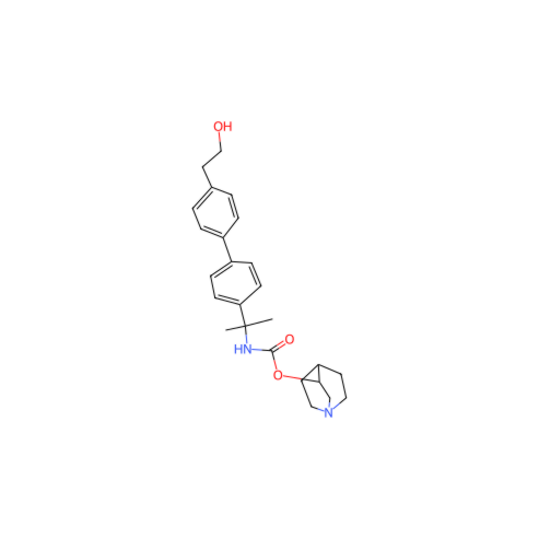 CC(C)(NC(=O)OC1CN2CCC1CC2)c1ccc(-c2ccc(CCO)cc2)cc1